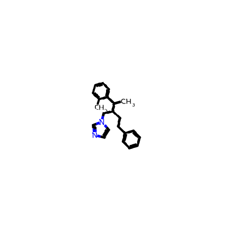 Cc1ccccc1C(C)C(CCc1ccccc1)Cn1ccnc1